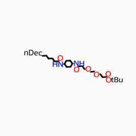 CCCCCCCCCCCCCCCC(=O)N[C@H]1CC[C@H](NC(=O)CCOCCOCCC(=O)OC(C)(C)C)CC1